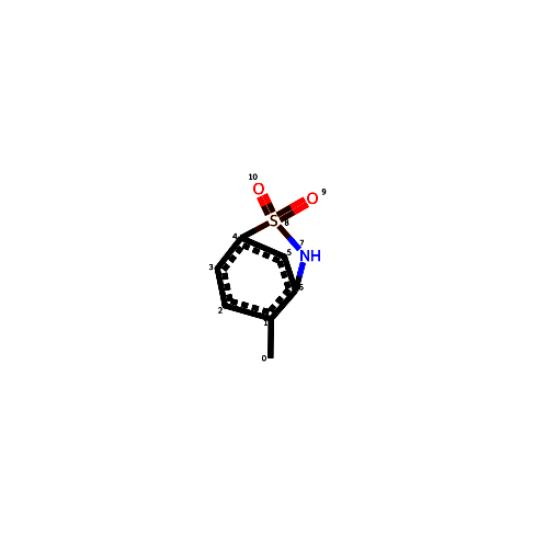 Cc1ccc2cc1NS2(=O)=O